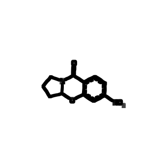 O=C1c2ccc([N+](=O)[O-])cc2OC2CCCN12